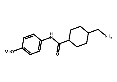 COc1ccc(NC(=O)C2CCC(CN)CC2)cc1